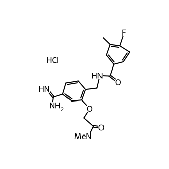 CNC(=O)COc1cc(C(=N)N)ccc1CNC(=O)c1ccc(F)c(C)c1.Cl